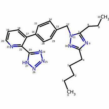 CCCCCc1nc(CCC)n(Cc2ccc(-c3cccnc3-c3nnn[nH]3)cc2)n1